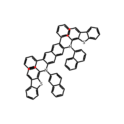 c1ccc(-c2cc3cc(-c4ccccc4)c(N(c4cccc5ccccc45)c4cccc5c4sc4ccccc45)cc3cc2N(c2ccc3ccccc3c2)c2cccc3c2sc2ccccc23)cc1